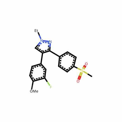 CCn1cc(-c2ccc(OC)c(F)c2)c(-c2ccc(S(C)(=O)=O)cc2)n1